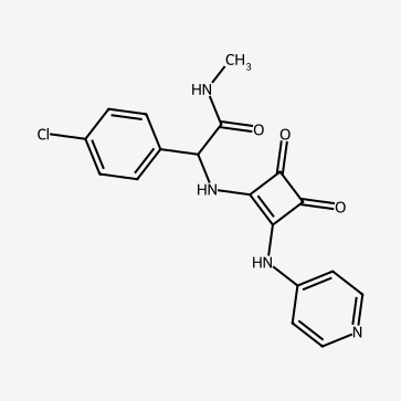 CNC(=O)C(Nc1c(Nc2ccncc2)c(=O)c1=O)c1ccc(Cl)cc1